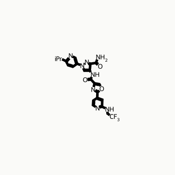 CC(C)c1ccc(-n2cc(NC(=O)c3coc(-c4ccnc(NCC(F)(F)F)c4)n3)c(C(N)=O)n2)cn1